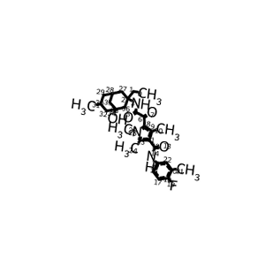 CCC1(NC(=O)C(=O)c2c(C)c(C(=O)Nc3ccc(F)c(C)c3)c(C)n2C)CC2CC(C)CC(O)(C2)C1